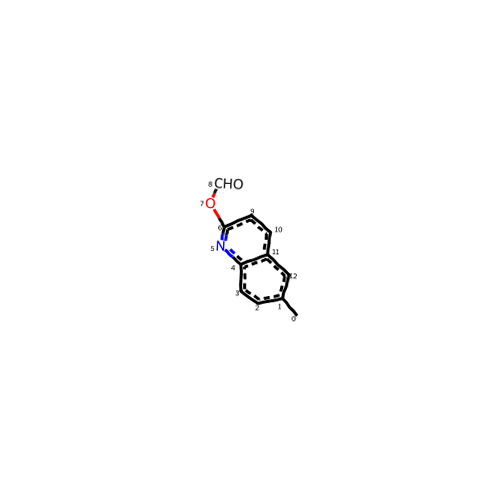 Cc1ccc2nc(OC=O)ccc2c1